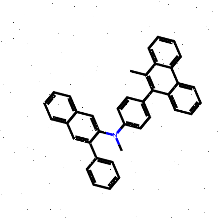 Cc1c(-c2ccc(N(C)c3cc4ccccc4cc3-c3ccccc3)cc2)c2ccccc2c2ccccc12